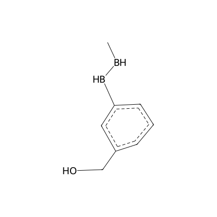 CBBc1cccc(CO)c1